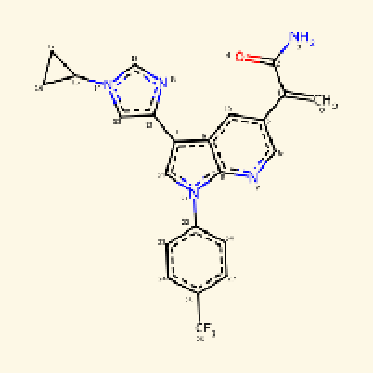 C=C(C(N)=O)c1cnc2c(c1)c(-c1cn(C3CC3)cn1)cn2-c1ccc(C(F)(F)F)cc1